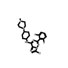 CN1CCN(C2CCC(Nc3nc(-c4c(F)cccc4F)nn4c(Cl)cnc34)CC2)CC1